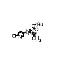 C[C@H]1C[C@]1(COc1ccc(Cl)nc1)NC(=O)OC(C)(C)C